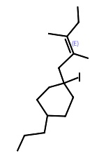 CCCC1CCC(I)(C/C(C)=C(\C)CC)CC1